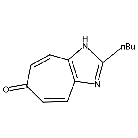 CCCCc1nc2ccc(=O)ccc2[nH]1